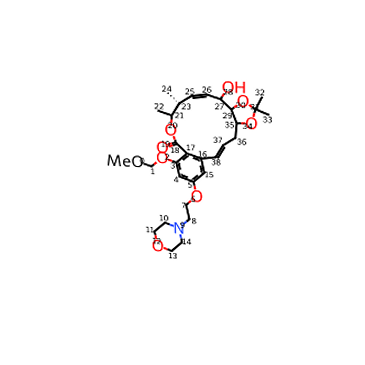 COCOc1cc(OCCN2CCOCC2)cc2c1C(=O)OC(C)[C@H](C)/C=C\C(O)C1OC(C)(C)OC1C/C=C/2